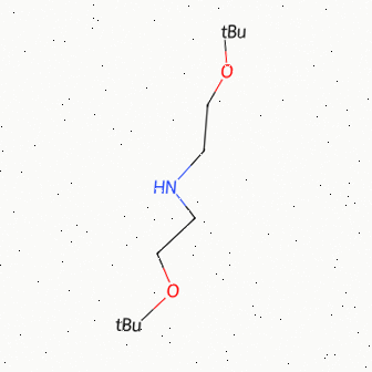 CC(C)(C)OCCNCCOC(C)(C)C